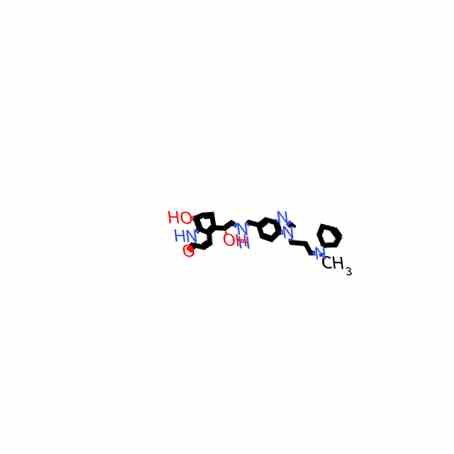 CN(CCCn1cnc2cc(CNC[C@H](O)c3ccc(O)c4[nH]c(=O)ccc34)ccc21)C1CC#CCC1